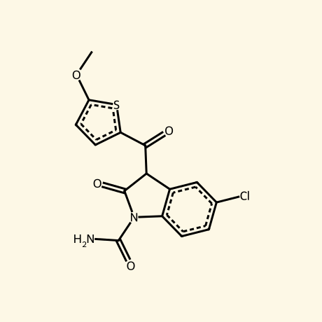 COc1ccc(C(=O)C2C(=O)N(C(N)=O)c3ccc(Cl)cc32)s1